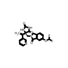 C=C(c1cccnc1)[C@]1(CN2Cc3ccc(OC(F)F)cc3C2=O)NC(=O)NC1=O